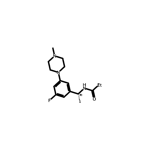 CCC(=O)N[C@H](C)c1cc(F)cc(N2CCN(C)CC2)c1